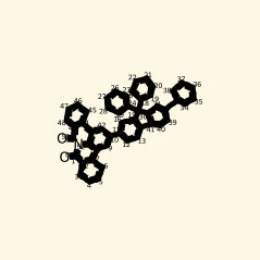 O=c1c2ccccc2c2cc(-c3ccc4c(c3)C(c3ccccc3)(c3ccccc3)c3cc(-c5ccccc5)ccc3-4)cc3c4ccccc4c(=O)n1c23